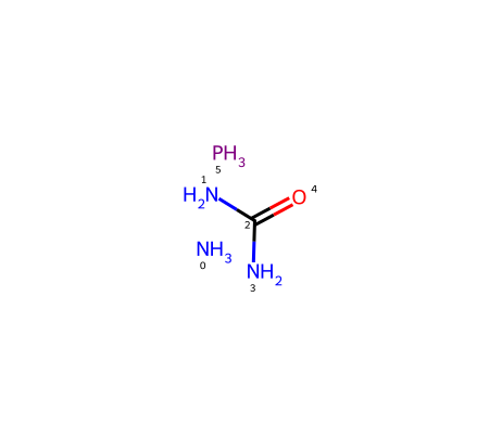 N.NC(N)=O.P